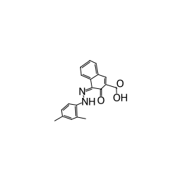 Cc1ccc(N/N=C2\C(=O)C(C(=O)O)=Cc3ccccc32)c(C)c1